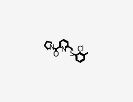 Cc1cccc(SCc2cccc(C(=O)N3CCCC3)n2)c1Cl